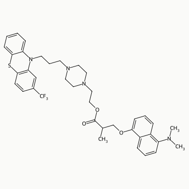 CC(COc1cccc2c(N(C)C)cccc12)C(=O)OCCN1CCN(CCCN2c3ccccc3Sc3ccc(C(F)(F)F)cc32)CC1